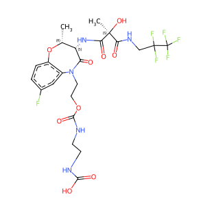 C[C@H]1Oc2ccc(F)cc2N(CCOC(=O)NCCNC(=O)O)C(=O)[C@H]1NC(=O)[C@@](C)(O)C(=O)NCC(F)(F)C(F)(F)F